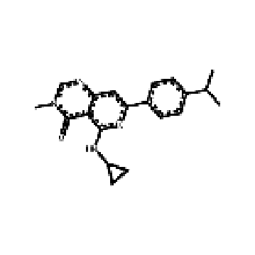 CC(C)c1ccc(-c2cc3ncn(C)c(=O)c3c(NC3CC3)n2)cc1